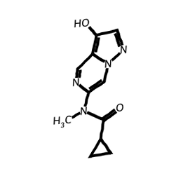 CN(C(=O)C1CC1)c1cn2ncc(O)c2cn1